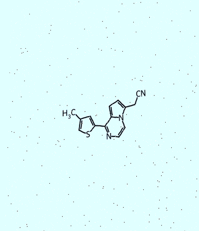 Cc1csc(-c2nccn3c(CC#N)ccc23)c1